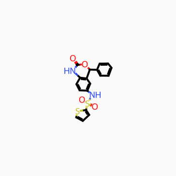 O=C1Nc2ccc(NS(=O)(=O)c3cccs3)cc2C(c2ccccc2)O1